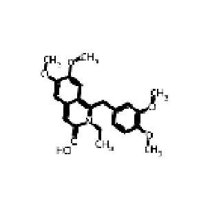 CCn1c(Cc2ccc(OC)c(OC)c2)c2cc(OC)c(OC)cc2cc1=O.Cl